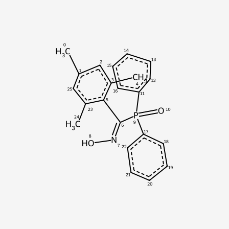 Cc1cc(C)c(C(=NO)P(=O)(c2ccccc2)c2ccccc2)c(C)c1